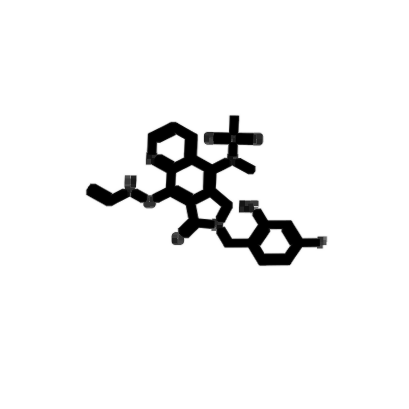 C=CPOc1c2c(c(N(C)S(C)(=O)=O)c3cccnc13)CN(Cc1ccc(F)cc1C#N)C2=O